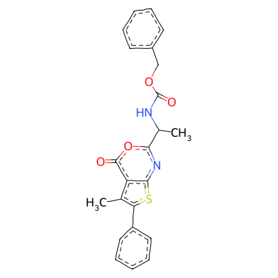 Cc1c(-c2ccccc2)sc2nc(C(C)NC(=O)OCc3ccccc3)oc(=O)c12